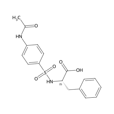 CC(=O)Nc1ccc(S(=O)(=O)N[C@@H](Cc2ccccc2)C(=O)O)cc1